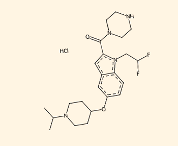 CC(C)N1CCC(Oc2ccc3c(c2)cc(C(=O)N2CCNCC2)n3CC(F)F)CC1.Cl